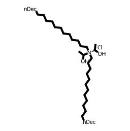 CCCCCCCCCCCCCCCCCCCCCC[N+](CCCCCCCCCCCCCCCCCCCCCC)(C(C)O)C(C)O.[Cl-]